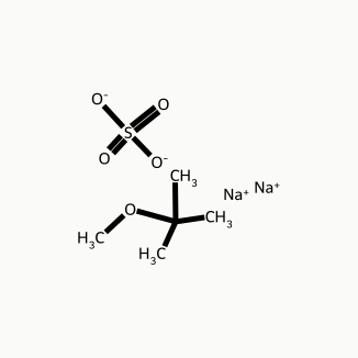 COC(C)(C)C.O=S(=O)([O-])[O-].[Na+].[Na+]